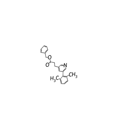 Cc1cccc(C)c1-c1cncc(CCC(=O)OCc2ccccc2)c1